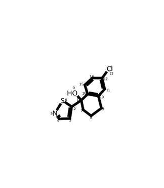 OC1(c2ccns2)CCCc2cc(Cl)ccc21